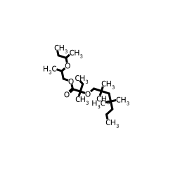 CCCC(C)(C)CC(C)(C)COC(C)(CC)C(=O)OCC(C)OC(C)CC